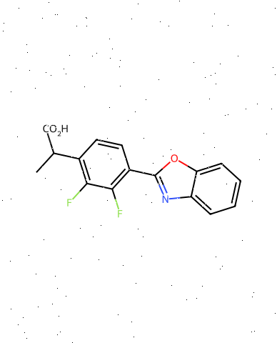 CC(C(=O)O)c1ccc(-c2nc3ccccc3o2)c(F)c1F